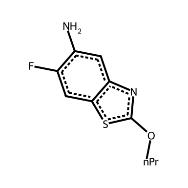 CCCOc1nc2cc(N)c(F)cc2s1